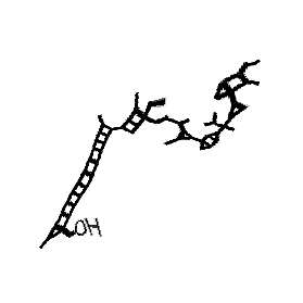 CCC1C(C)C2(C3CC3C(C)(C(C)C)C3C4C5CC5(C5C(C)C5C(C)CCC5(CC)C(C)C6C(C7C(C)C8C7C7C8C8C7C7C8C8C7C7C8C8C7C7C8C8C7C7(CO)C(C)C87)CC65)C43)CC12